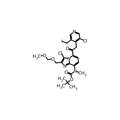 COCOCc1nc2c(N(C)C(=O)OC(C)(C)C)ccc(C(=O)Cc3c(Cl)cncc3CI)n2c1Cl